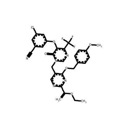 C=C(OCC)c1ncc(Cn2cnc(C(F)(F)F)c(Oc3cc(Cl)cc(C#N)c3)c2=O)c(OCc2ccc(OC)cc2)n1